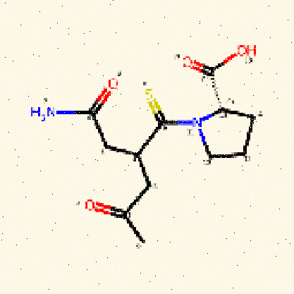 CC(=O)CC(CC(N)=O)C(=S)N1CCC[C@H]1C(=O)O